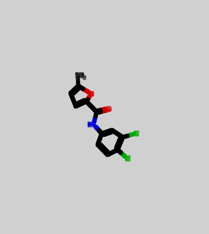 O=C(Nc1ccc(Cl)c(Cl)c1)c1ccc([N+](=O)[O-])o1